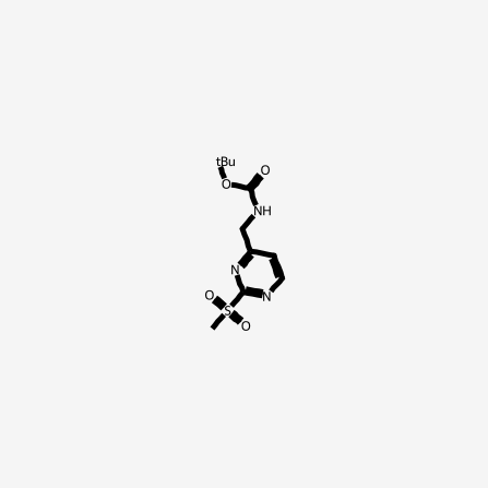 CC(C)(C)OC(=O)NCc1ccnc(S(C)(=O)=O)n1